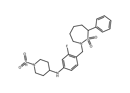 O=[SH](=O)N1CCC(Nc2ccc(CN3CCCCC(c4ccccc4)S3(=O)=O)c(F)c2)CC1